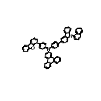 c1ccc2c(-n3c4ccccc4c4cc(-c5ccc(N(c6ccc(-c7cccc8c7oc7ccccc78)cc6)c6ccc7c8ccccc8c8ccccc8c7c6)cc5)ccc43)cccc2c1